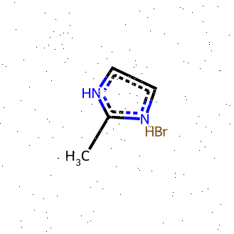 Br.Cc1ncc[nH]1